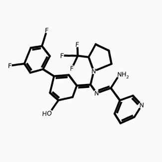 N/C(=N\C(=C1\C=C(c2cc(F)cc(F)c2)C=C(O)C1)N1CCCC1C(F)(F)F)c1cccnc1